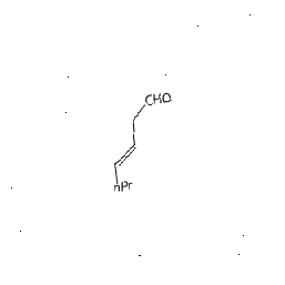 [CH2]CCC=CCC=O